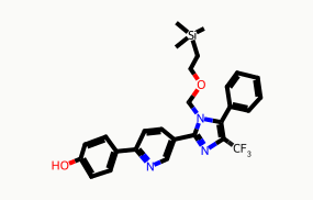 C[Si](C)(C)CCOCn1c(-c2ccc(-c3ccc(O)cc3)nc2)nc(C(F)(F)F)c1-c1ccccc1